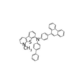 CN1CC=Cc2c1sc1c(N(c3ccc(-c4ccccc4)cc3)c3ccc(-c4cc5ccccc5c5ccccc45)cc3)cccc21